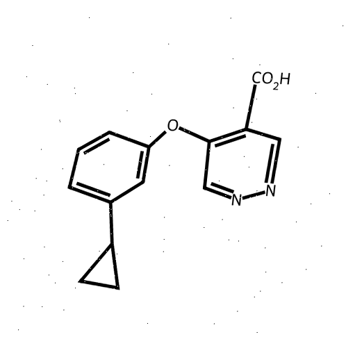 O=C(O)c1cnncc1Oc1cccc(C2CC2)c1